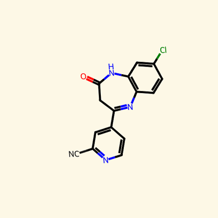 N#Cc1cc(C2=Nc3ccc(Cl)cc3NC(=O)C2)ccn1